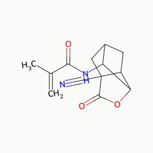 C=C(C)C(=O)NC1C2CC3C1OC(=O)C3(C#N)C2